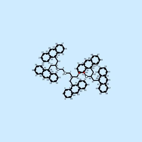 c1ccc2c(CC(COCOC(Cc3c4ccccc4cc4ccccc34)Cc3c4ccccc4cc4ccccc34)COCOC(Cc3c4ccccc4cc4ccccc34)Cc3c4ccccc4cc4ccccc34)c3ccccc3cc2c1